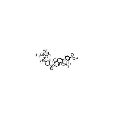 CC(C)(C)OC(=O)N[C@H]1CC[C@@H](C(=O)N2CC=C3C(C)(C)C(c4ccc(C(=O)O)cc4)=CC[C@]3(C)C2)CC1